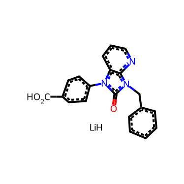 O=C(O)c1ccc(-n2c(=O)n(Cc3ccccc3)c3ncccc32)cc1.[LiH]